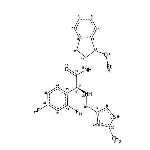 CCOC1c2ccccc2CC1NC(=O)[C@@H](NCc1csc(C)n1)c1ccc(F)cc1F